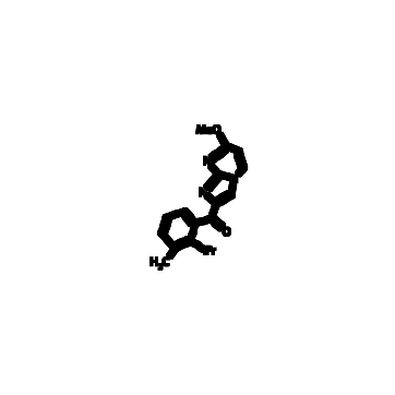 COc1ccn2cc(C(=O)c3cccc(C)c3C(C)C)nc2n1